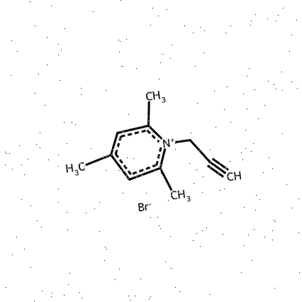 C#CC[n+]1c(C)cc(C)cc1C.[Br-]